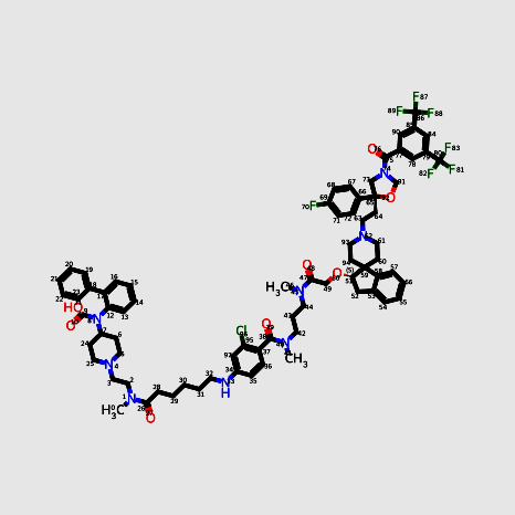 CN(CCN1CCC(N(C(=O)O)c2ccccc2-c2ccccc2)CC1)C(=O)CCCCCNc1ccc(C(=O)N(C)CCCN(C)C(=O)CO[C@H]2Cc3ccccc3C23CCN(CC[C@@]2(c4ccc(F)cc4)CN(C(=O)c4cc(C(F)(F)F)cc(C(F)(F)F)c4)CO2)CC3)c(Cl)c1